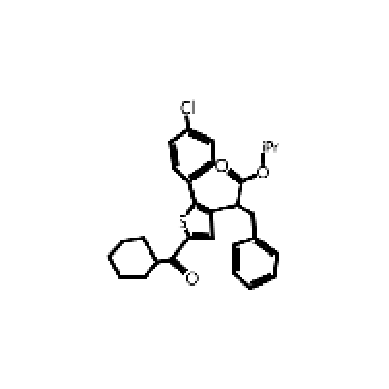 CC(C)OC(=O)C(Cc1ccccc1)c1cc(C(=O)C2CCCCC2)sc1-c1ccc(Cl)cc1